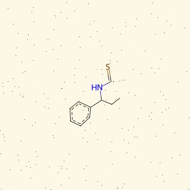 CCC(N[C]=S)c1ccccc1